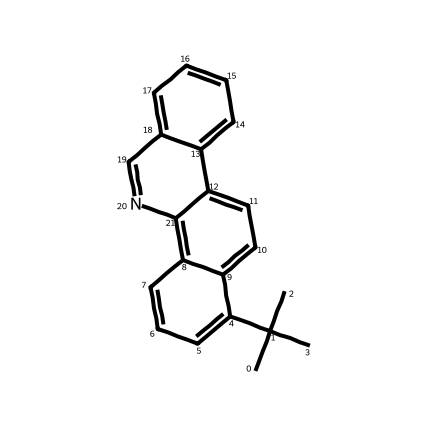 CC(C)(C)c1cccc2c1ccc1c3ccccc3cnc21